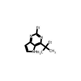 CCc1nc(C(C)(C)CC)c2[nH]ccc2n1